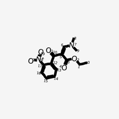 CCOC(=O)/C(=C\N(C)C)C(=O)c1ccccc1[N+](=O)[O-]